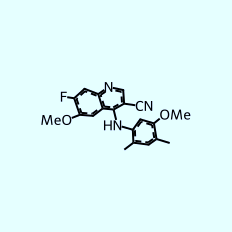 COc1cc(Nc2c(C#N)cnc3cc(F)c(OC)cc23)c(C)cc1C